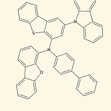 c1ccc(-c2ccc(N(c3cccc4c3oc3ccccc34)c3cc(-n4c5ccccc5c5ccccc54)cc4c3sc3ccccc34)cc2)cc1